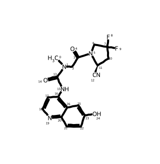 CN(CC(=O)N1CC(F)(F)C[C@H]1C#N)C(=O)Nc1ccnc2ccc(O)cc12